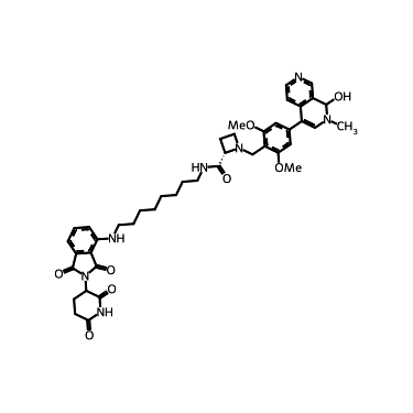 COc1cc(C2=CN(C)C(O)c3cnccc32)cc(OC)c1CN1CC[C@H]1C(=O)NCCCCCCCCNc1cccc2c1C(=O)N(C1CCC(=O)NC1=O)C2=O